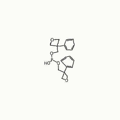 OP(OCC1(c2ccccc2)COC1)OCC1(c2ccccc2)COC1